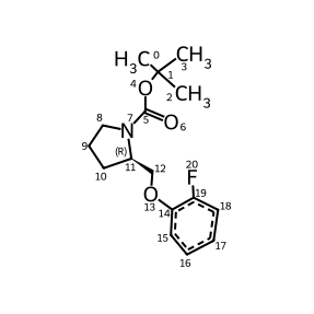 CC(C)(C)OC(=O)N1CCC[C@@H]1COc1ccccc1F